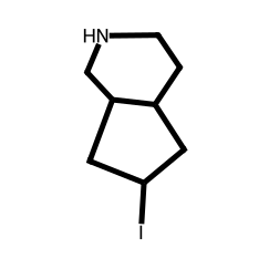 IC1CC2CCNCC2C1